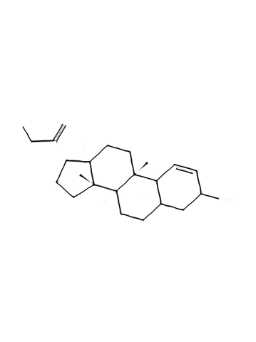 C[C@]12CC[C@H]3[C@@H](CCC4CC(O)C=C[C@@]43C)[C@@H]1CC[C@@H]2C(=O)CO